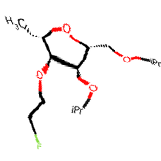 CC(C)OC[C@H]1O[C@@H](C)[C@H](OCCF)[C@@H]1OC(C)C